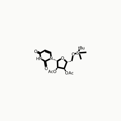 CC(=O)O[C@@H]1[C@H](OC(C)=O)[C@@H](CO[Si](C)(C)C(C)(C)C)O[C@H]1n1ccc(=O)[nH]c1=O